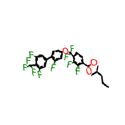 CCCC1COC(c2ccc(C(F)(F)Oc3ccc(-c4cc(F)c(C(F)(F)F)c(F)c4)c(F)c3)c(F)c2F)OC1